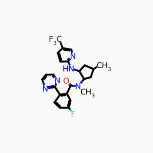 CC1CC(Nc2ccc(C(F)(F)F)cn2)C(N(C)C(=O)c2cc(F)ccc2-c2ncccn2)C1